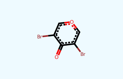 O=c1c(Br)cocc1Br